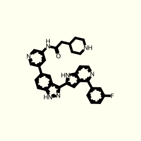 O=C(CC1CCNCC1)Nc1cncc(-c2ccc3[nH]nc(-c4cc5c(-c6cccc(F)c6)nccc5[nH]4)c3c2)c1